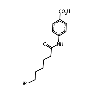 CC(C)CCCCCC(=O)Nc1ccc(C(=O)O)cc1